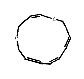 [C]1=CC=CC=CCCC=CCCC1